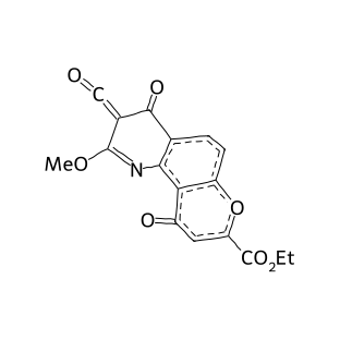 CCOC(=O)c1cc(=O)c2c3c(ccc2o1)C(=O)C(=C=O)C(OC)=N3